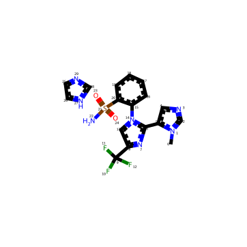 Cn1cncc1-c1nc(C(F)(F)F)cn1-c1ccccc1S(N)(=O)=O.c1c[nH]cn1